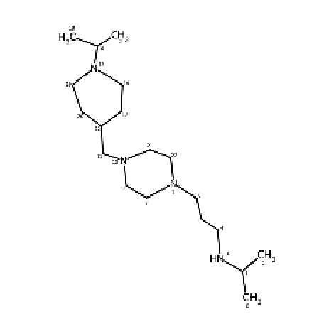 CC(C)NCCCN1CCN(CC2CCN(C(C)C)CC2)CC1